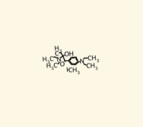 CCN(CC)c1ccc(C(=O)C(O)(CC)N(CC)CC)cc1.CI